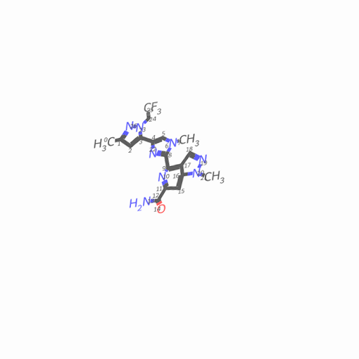 Cc1cc(-c2cn(C)c(-c3nc(C(N)=O)cc4c3cnn4C)n2)n(CC(F)(F)F)n1